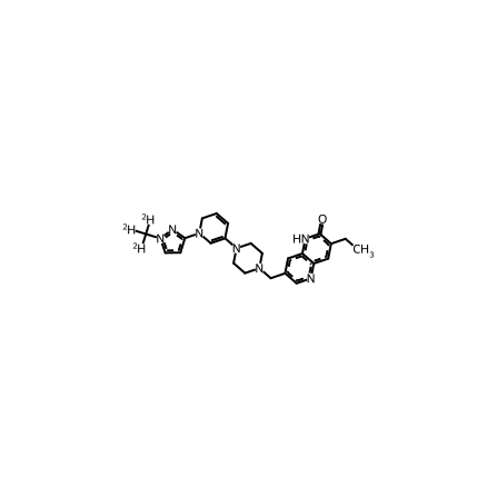 [2H]C([2H])([2H])n1ccc(N2C=C(N3CCN(Cc4cnc5cc(CC)c(=O)[nH]c5c4)CC3)C=CC2)n1